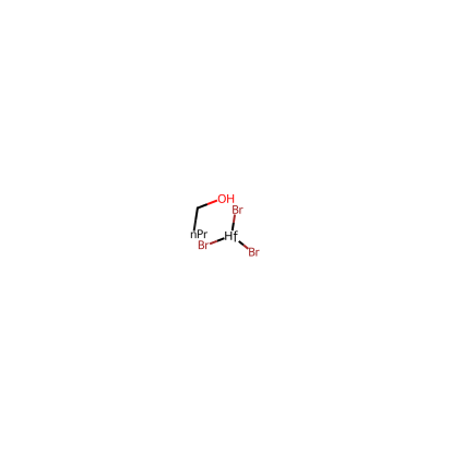 CCCCO.[Br][Hf]([Br])[Br]